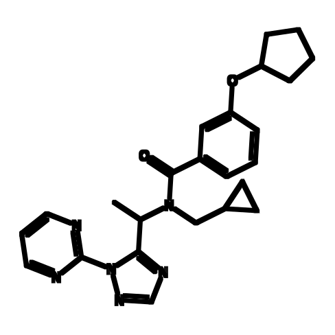 CC(c1ncnn1-c1ncccn1)N(CC1CC1)C(=O)c1cccc(OC2CCCC2)c1